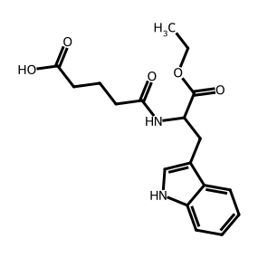 CCOC(=O)C(Cc1c[nH]c2ccccc12)NC(=O)CCCC(=O)O